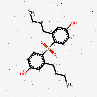 CCCCc1cc(O)ccc1S(=O)(=O)c1ccc(O)cc1CCCC